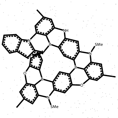 CSN1c2cc3c(cc2B2c4cc5c(cc4Oc4cc(C)cc1c42)N(SC)c1cc(C)cc2c1B5c1ccccc1O2)B1c2c(cc(C)cc2-n2c4ccccc4c4cccc1c42)N3